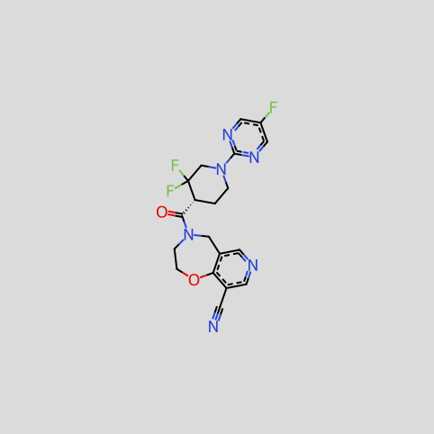 N#Cc1cncc2c1OCCN(C(=O)[C@H]1CCN(c3ncc(F)cn3)CC1(F)F)C2